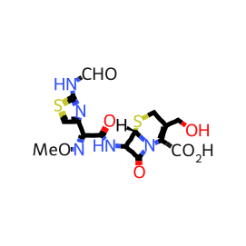 CON=C(C(=O)NC1C(=O)N2C(C(=O)O)=C(CO)CS[C@@H]12)c1csc(NC=O)n1